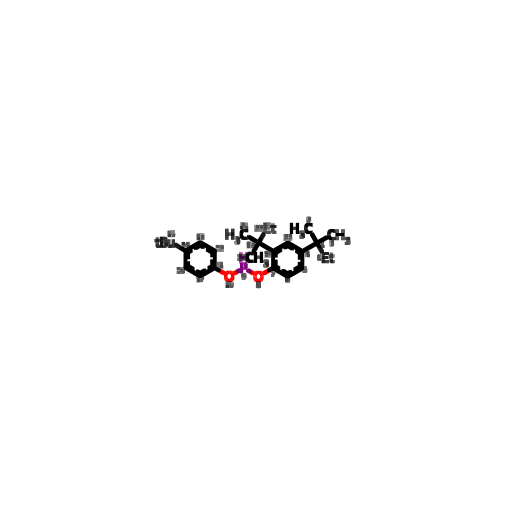 CCC(C)(C)c1ccc(OPOc2ccc(C(C)(C)C)cc2)c(C(C)(C)CC)c1